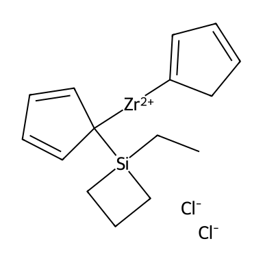 CC[Si]1([C]2([Zr+2][C]3=CC=CC3)C=CC=C2)CCC1.[Cl-].[Cl-]